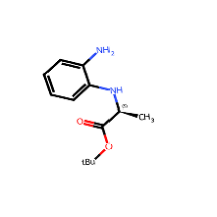 C[C@H](Nc1ccccc1N)C(=O)OC(C)(C)C